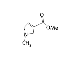 COC(=O)C1=CCN(C)C1